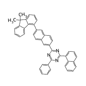 CC1(C)c2ccccc2-c2c(-c3ccc4cc(-c5nc(-c6ccccc6)nc(-c6cccc7ccccc67)n5)ccc4c3)cccc21